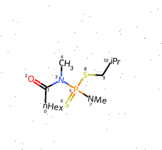 CCCCCCC(=O)N(C)P(=S)(NC)SCC(C)C